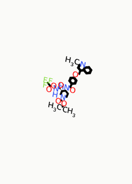 Cc1cc(COc2ccc(C(=O)N[C@@H]3CCN(C(=O)OC(C)C)C[C@@H]3C(=O)NOC(=O)C(F)(F)F)cc2)c2ccccc2n1